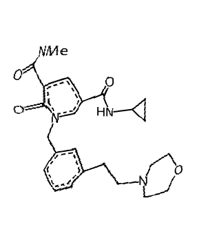 CNC(=O)c1cc(C(=O)NC2CC2)cn(Cc2cccc(CCN3CCOCC3)c2)c1=O